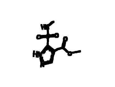 CNS(=O)(=O)c1[nH]ncc1C(=O)OC